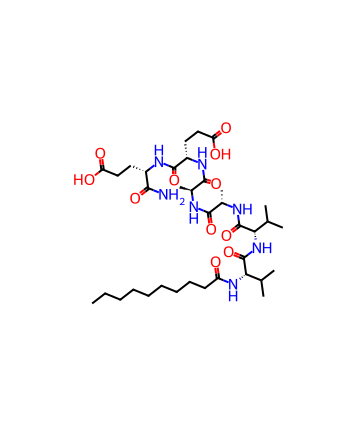 CCCCCCCCCC(=O)N[C@H](C(=O)N[C@H](C(=O)N[C@@H](C)C(=O)N[C@@H](C)C(=O)N[C@@H](CCC(=O)O)C(=O)N[C@@H](CCC(=O)O)C(N)=O)C(C)C)C(C)C